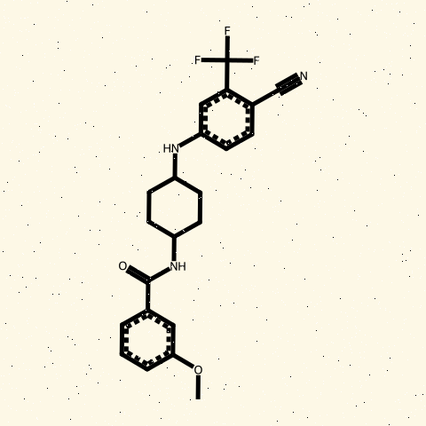 COc1cccc(C(=O)NC2CCC(Nc3ccc(C#N)c(C(F)(F)F)c3)CC2)c1